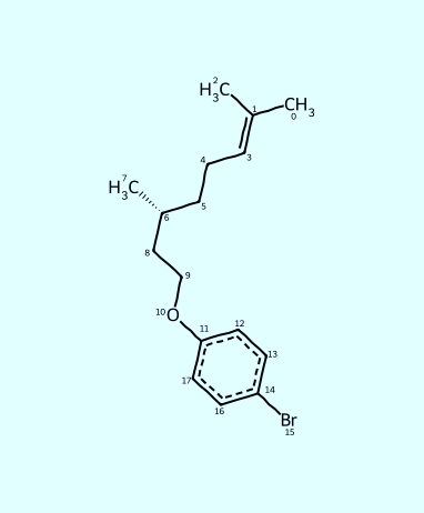 CC(C)=CCC[C@@H](C)CCOc1ccc(Br)cc1